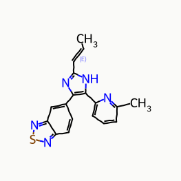 C/C=C/c1nc(-c2ccc3nsnc3c2)c(-c2cccc(C)n2)[nH]1